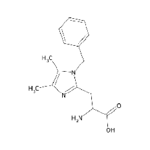 Cc1nc(CC(N)C(=O)O)n(Cc2ccccc2)c1C